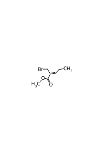 CC/C=C(\CBr)C(=O)OC